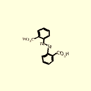 O=C(O)c1ccccc1[Te][Te]c1ccccc1C(=O)O